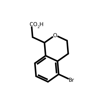 O=C(O)CC1OCCc2c(Br)cccc21